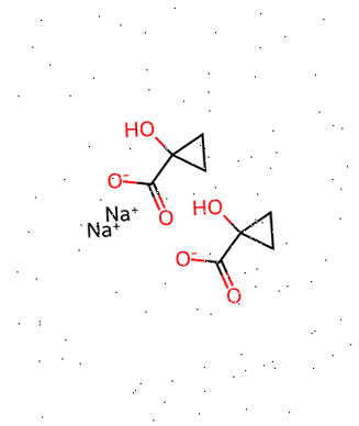 O=C([O-])C1(O)CC1.O=C([O-])C1(O)CC1.[Na+].[Na+]